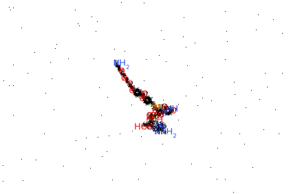 NCCCOCCOCCOCCOc1ccc(C(=O)Oc2ccc(CSPO[C@H]3[C@@H](F)[C@H](n4ccc(=O)[nH]c4=O)O[C@@H]3COP(=O)(O)O[C@H]3[C@@H](F)[C@H](n4cnc5c(N)ncnc54)O[C@@H]3CO)cc2)cc1